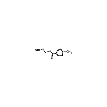 Cc1ccc(C(=S)OCSC#N)cc1